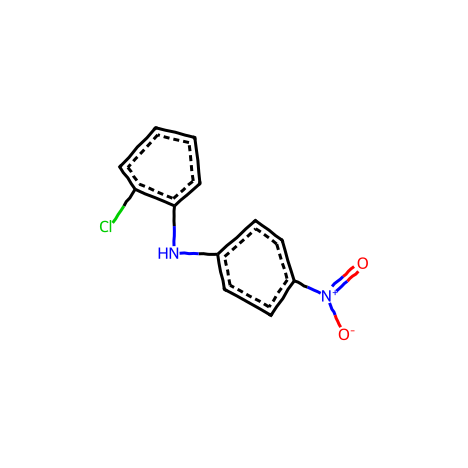 O=[N+]([O-])c1ccc(Nc2ccccc2Cl)cc1